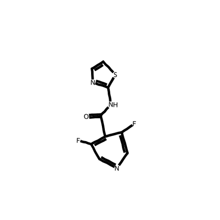 O=C(Nc1nccs1)c1c(F)cncc1F